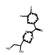 O=C(c1ccc(F)c(F)c1)c1ncc(C(O)CO)cn1